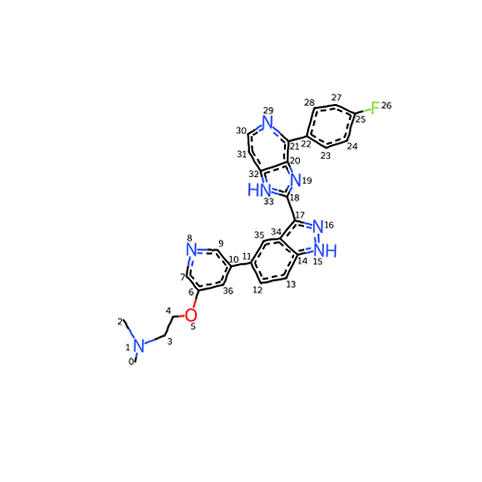 CN(C)CCOc1cncc(-c2ccc3[nH]nc(-c4nc5c(-c6ccc(F)cc6)nccc5[nH]4)c3c2)c1